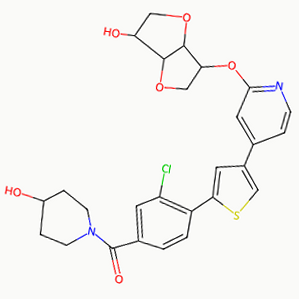 O=C(c1ccc(-c2cc(-c3ccnc(OC4COC5C(O)COC45)c3)cs2)c(Cl)c1)N1CCC(O)CC1